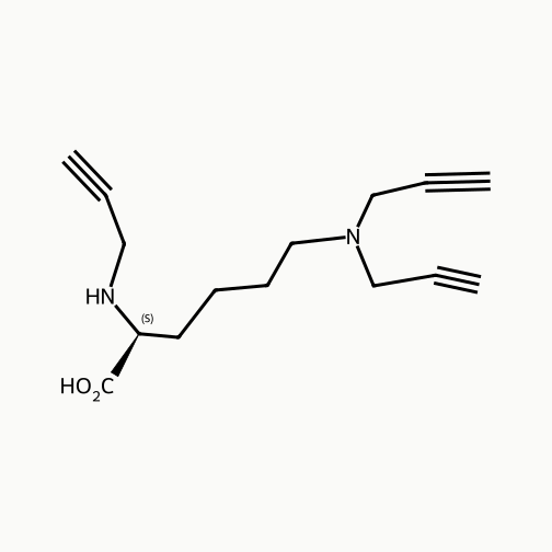 C#CCN[C@@H](CCCCN(CC#C)CC#C)C(=O)O